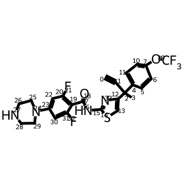 C#CC(C)(c1ccc(OC(F)(F)F)cc1)c1csc(NC(=O)c2c(F)cc(N3CCNCC3)cc2F)n1